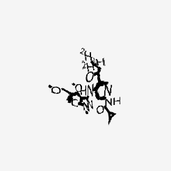 [2H]C([2H])([2H])CC(=O)c1cnc(NC(=O)C2CC2)cc1Nc1nn(C)c2ccc(COC)c(OC)c12